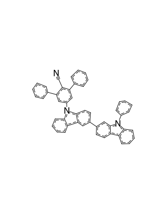 N#Cc1c(-c2ccccc2)cc(-n2c3ccccc3c3cc(-c4ccc5c6ccccc6n(-c6ccccc6)c5c4)ccc32)cc1-c1ccccc1